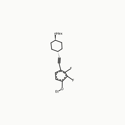 CCCCCC[C@H]1CC[C@H](C#Cc2ccc(OCC)c(F)c2F)CC1